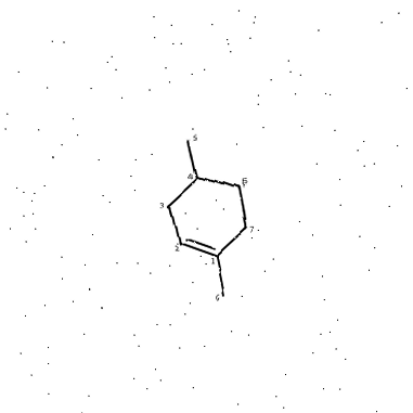 CC1=CCC(C)[CH]C1